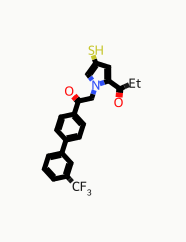 CCC(=O)c1cc(S)cn1CC(=O)c1ccc(-c2cccc(C(F)(F)F)c2)cc1